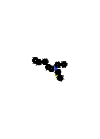 c1ccc(-c2cccc(N(c3ccc4ccc(-c5cccc(-c6ccc7ccccc7c6)c5)cc4c3)c3ccc4c(c3)sc3ccccc34)c2)cc1